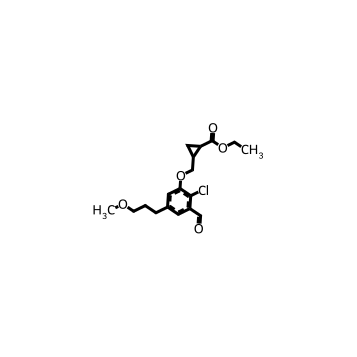 CCOC(=O)C1CC1COc1cc(CCCOC)cc(C=O)c1Cl